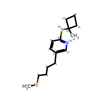 CSCCCCc1ccc(SC2(C)CCC2)nc1